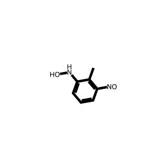 Cc1c(N=O)cccc1NO